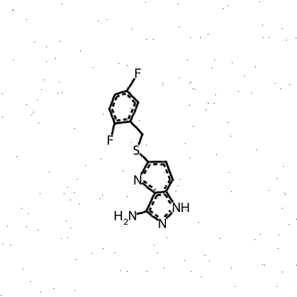 Nc1n[nH]c2ccc(SCc3cc(F)ccc3F)nc12